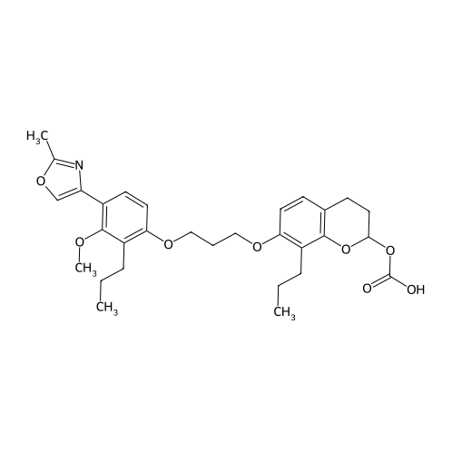 CCCc1c(OCCCOc2ccc(-c3coc(C)n3)c(OC)c2CCC)ccc2c1OC(OC(=O)O)CC2